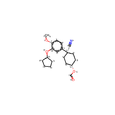 COc1ccc([C@]2(C#N)CC[C@@H](OC=O)CC2)cc1OC1CCCC1